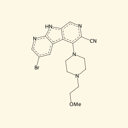 COCCN1CCN(c2c(C#N)ncc3[nH]c4ncc(Br)cc4c23)CC1